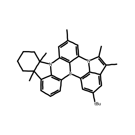 Cc1cc2c3c(c1)-n1c(C)c(C)c4cc(C(C)(C)C)cc(c41)B3c1cccc3c1N2C1(C)CCCCC31C